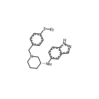 CCSc1ccc(CN2CCC[C@@H](Nc3ccc4[nH]ncc4c3)C2)cc1